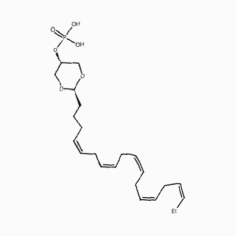 CC/C=C\C/C=C\C/C=C\C/C=C\C/C=C\CCC[C@H]1OC[C@@H](OP(=O)(O)O)CO1